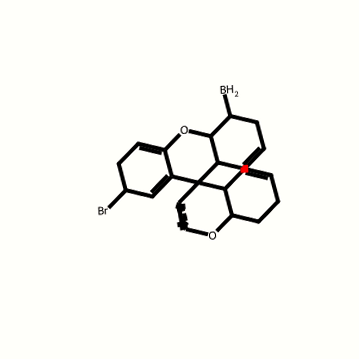 BC1CC=CC2C1OC1=CCC(Br)C=C1C21c2ccccc2OC2CCC=CC21